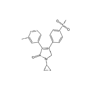 Cc1cccc(C2=C(c3ccc(S(C)(=O)=O)cc3)CN(C3CC3)C2=O)c1